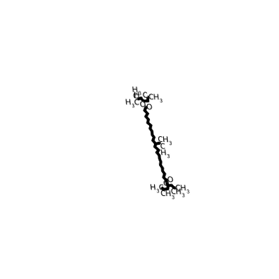 CC(C)CC(CC(C)C)OC(=O)CCCCCCCCCCCC(CCCCCCCCCCCC(=O)OC(CC(C)C)CC(C)C)C(C)C